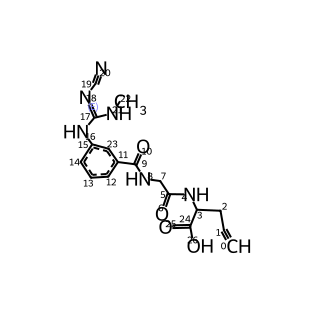 C#CCC(NC(=O)CNC(=O)c1cccc(N/C(=N/C#N)NC)c1)C(=O)O